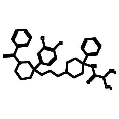 CN(C)C(=O)NC1(c2ccccc2)CCN(CCCC2(c3ccc(Cl)c(Cl)c3)CCCN(C(=O)c3ccccc3)C2)CC1